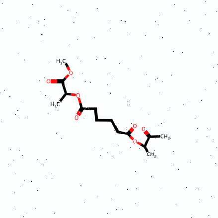 COC(=O)C(C)OC(=O)CCCCC(=O)OC(C)C(C)=O